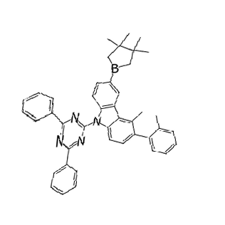 Cc1ccccc1-c1ccc2c(c1C)c1cc(B3CC(C)(C)C(C)(C)C3)ccc1n2-c1nc(-c2ccccc2)nc(-c2ccccc2)n1